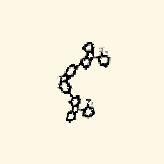 FC(F)(F)c1ccccc1-n1c2ccccc2c2cc(-c3ccc4[nH]c5ccc(-c6ccc7c(c6)c6ccccc6n7-c6ccccc6C(F)(F)F)cc5c4c3)ccc21